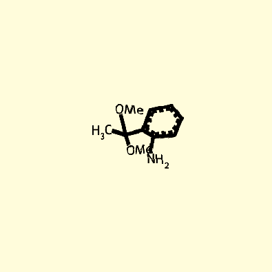 COC(C)(OC)c1ccccc1N